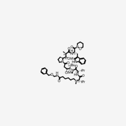 CC[C@H](C)[C@@H]([C@@H](CC(=O)N1CCC[C@H]1[C@H](OC)[C@@H](C)C(=O)N[C@@H](Cc1c[nH]c2ccccc12)C(=O)N1CCCCO1)OC)N(C)C(=O)[C@@H](NC(=O)[C@H](C(C)C)N(C)CCCCCC(=O)NCOCc1ccccc1)C(C)C